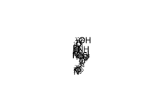 COc1cc2c(Nc3cc(O)c(C)cc3F)ncnc2cc1OCCc1ccncc1.Cl